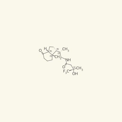 C[C@H](CNC(=O)C[C@](C)(O)C(F)(F)F)[C@H]1CC[C@H]2C(=O)CCC[C@@]12C